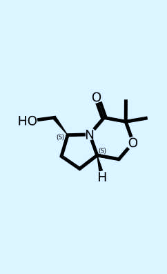 CC1(C)OC[C@@H]2CC[C@@H](CO)N2C1=O